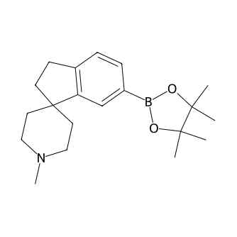 CN1CCC2(CCc3ccc(B4OC(C)(C)C(C)(C)O4)cc32)CC1